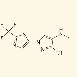 CNc1cn(-c2cnc(C(F)(F)F)s2)nc1Cl